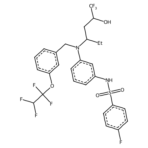 CCC(CC(O)C(F)(F)F)N(Cc1cccc(OC(F)(F)C(F)F)c1)c1cccc(NS(=O)(=O)c2ccc(F)cc2)c1